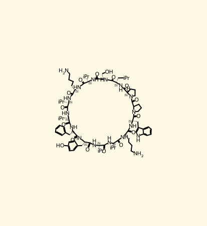 CC(C)C[C@@H]1NC(=O)[C@@H]2CCCN2C(=O)C2CCCN2C(=O)[C@H](Cc2c[nH]c3ccccc23)NC(=O)[C@H](CCCCN)NC(=O)[C@H](C(C)C)NC(=O)[C@H](C(C)C)NC(=O)[C@H](Cc2ccc(O)cc2)NC(=O)[C@H](Cc2ccccc2)NC(=O)[C@H](C(C)C)NC(=O)[C@H](C(C)C)NC(=O)[C@H](CCCCN)NC(=O)[C@H](C(C)C)NC(=O)[C@H](CO)NC1=O